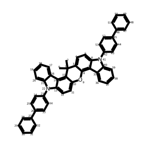 CC1(C)c2ccc3c(c2Oc2ccc4c(c21)c1ccccc1n4-c1ccc(-c2ccccc2)cc1)c1ccccc1n3-c1ccc(-c2ccccc2)cc1